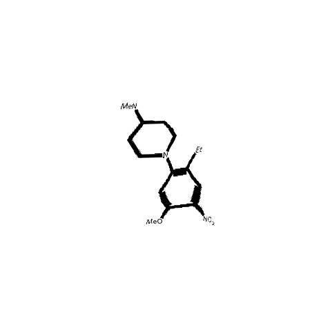 CCc1cc([N+](=O)[O-])c(OC)cc1N1CCC(NC)CC1